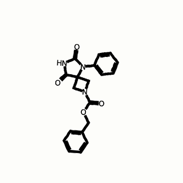 O=C(OCc1ccccc1)N1CC2(C1)C(=O)NC(=O)N2c1ccccc1